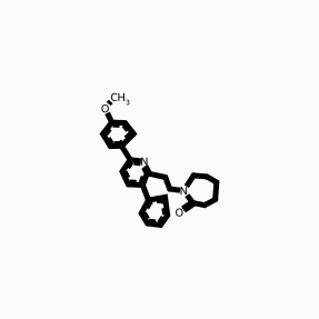 COc1ccc(-c2ccc(-c3ccccc3)c(CCN3CCCCCC3=O)n2)cc1